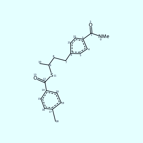 CNC(=O)c1ccc(CCC(C)SC(=O)c2ccc(C)cc2)cc1